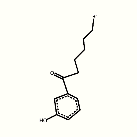 O=C(CCCCCBr)c1cccc(O)c1